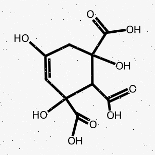 O=C(O)C1C(O)(C(=O)O)C=C(O)CC1(O)C(=O)O